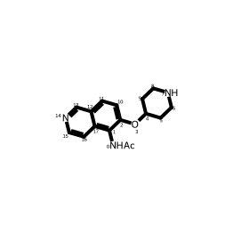 CC(=O)Nc1c(OC2CCNCC2)ccc2cnccc12